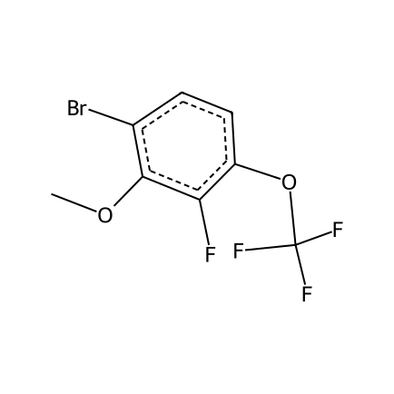 COc1c(Br)ccc(OC(F)(F)F)c1F